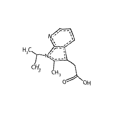 Cc1c(CC(=O)O)c2cccnc2n1C(C)C